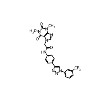 Cn1c(=O)c2c(ncn2CC(=O)Nc2ccc(-c3cn(-c4cccc(C(F)(F)F)c4)nn3)cc2)n(C)c1=O